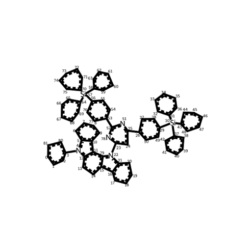 c1ccc(-n2c3ccccc3c3c2ccc2c4ccccc4n(-c4cc(-c5ccc([Si](c6ccccc6)(c6ccccc6)c6ccccc6)cc5)nc(-c5ccc([Si](c6ccccc6)(c6ccccc6)c6ccccc6)cc5)n4)c23)cc1